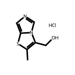 Cc1sc2cncn2c1CO.Cl